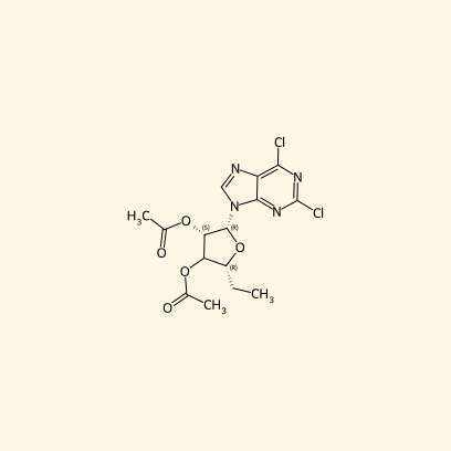 CC[C@H]1O[C@@H](n2cnc3c(Cl)nc(Cl)nc32)[C@@H](OC(C)=O)C1OC(C)=O